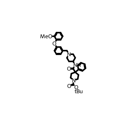 COc1ccccc1Oc1cccc(CN2CCC(NC(=O)C3(c4ccccc4)CCN(C(=O)OC(C)(C)C)CC3)CC2)c1